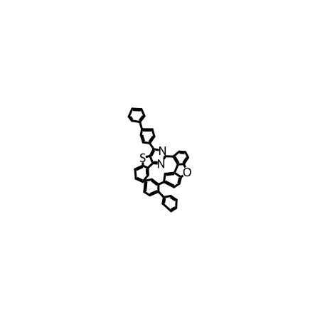 c1ccc(-c2ccc(-c3nc(-c4cccc5oc6ccc(-c7ccccc7-c7ccccc7)cc6c45)nc4c3sc3ccccc34)cc2)cc1